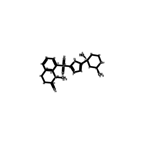 C[C@H]1C[C@@](O)(c2cnc(S(=O)(=O)c3cccc4c3N(C)C(=O)CC4)s2)CCO1